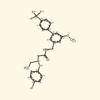 CCN(CC(=O)NCc1cc(OC)cc(-c2ccc(C(F)(F)F)cc2)c1)Sc1ccc(F)cc1